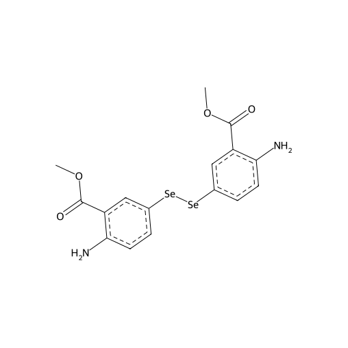 COC(=O)c1cc([Se][Se]c2ccc(N)c(C(=O)OC)c2)ccc1N